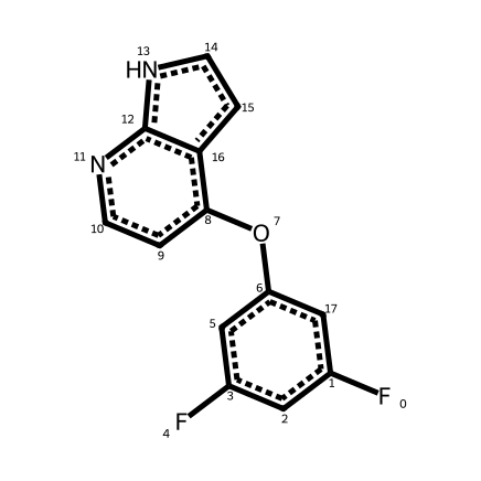 Fc1cc(F)cc(Oc2ccnc3[nH]ccc23)c1